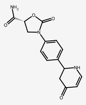 NC(=O)[C@H]1CN(c2ccc(C3CC(=O)C=CN3)cc2)C(=O)O1